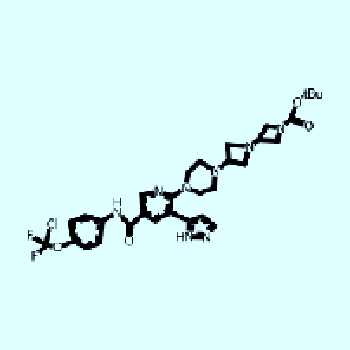 CC(C)(C)OC(=O)N1CC(N2CC(N3CCN(c4ncc(C(=O)Nc5ccc(OC(F)(F)Cl)cc5)cc4-c4ccn[nH]4)CC3)C2)C1